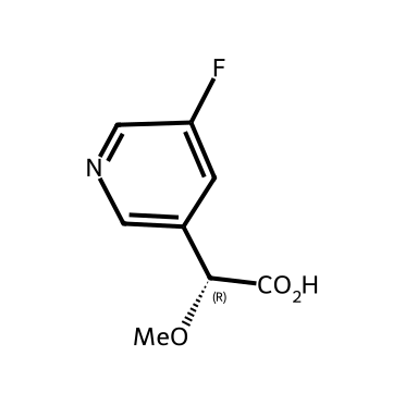 CO[C@@H](C(=O)O)c1cncc(F)c1